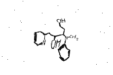 CN(c1ccccc1)C(CCO)C(O)Cc1ccccn1